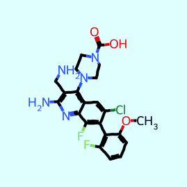 COc1cccc(F)c1-c1c(Cl)cc2c(N3CCN(C(=O)O)CC3)c(CN)c(N)nc2c1F